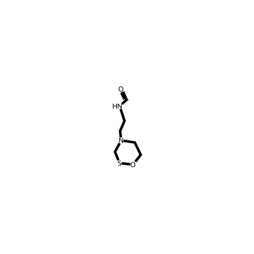 O=[C]NCCN1CCOSC1